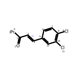 CC(C)C(=O)/C=C/c1ccc(Cl)c(Cl)c1